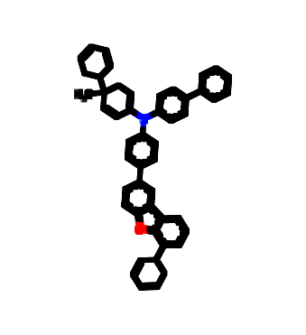 CC1(C2C=CC=CC2)C=CC(N(c2ccc(-c3ccccc3)cc2)c2ccc(-c3ccc4oc5c(C6C=CC=CC6)cccc5c4c3)cc2)=CC1